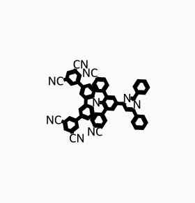 N#Cc1ccc(-c2cc(-c3cc(-c4ccccc4)nc(-c4ccccc4)n3)cc(-c3ccc(C#N)cc3)c2-n2c3ccc(-c4cc(C#N)cc(C#N)c4)cc3c3cc(-c4cc(C#N)cc(C#N)c4)ccc32)cc1